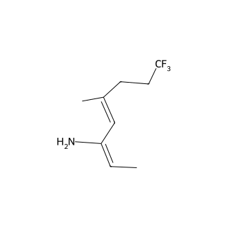 C/C=C(N)\C=C(/C)CCC(F)(F)F